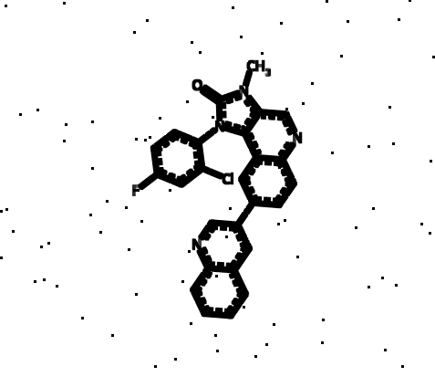 Cn1c(=O)n(-c2ccc(F)cc2Cl)c2c3cc(-c4cnc5ccccc5c4)ccc3ncc21